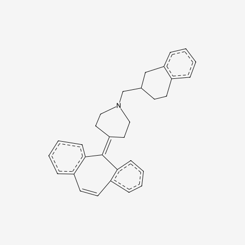 C1=Cc2ccccc2C(=C2CCN(CC3CCc4ccccc4C3)CC2)c2ccccc21